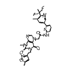 Cc1cc(Cn2c(=O)c3c(ncn3CC(=O)Nc3cccc(-c4cnc(C(C)(F)F)c(C)c4)n3)n(C)c2=O)no1